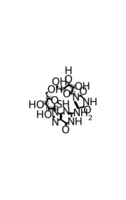 Nc1nc2c(ncn2[C@]2(S)O[C@H](CO)[C@@H](O)[C@H]2O)c(=O)[nH]1.O=c1ccn([C@@H]2O[C@H](CO)[C@@H](O)[C@H]2O)c(=O)[nH]1